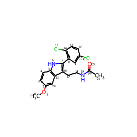 COc1ccc2[nH]c(-c3cc(Cl)ccc3Cl)c(CCNC(C)=O)c2c1